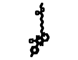 CCOC(=O)CCCCCCN1CCCc2nc(-c3ccc(C)cc3)c(Cl)nc21